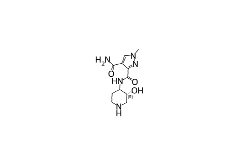 Cn1cc(C(N)=O)c(C(=O)NC2CCNC[C@H]2O)n1